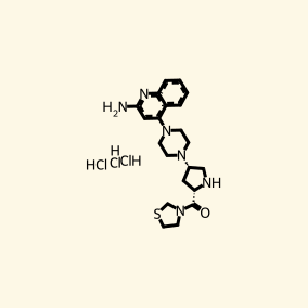 Cl.Cl.Cl.Nc1cc(N2CCN([C@@H]3CN[C@H](C(=O)N4CCSC4)C3)CC2)c2ccccc2n1